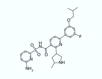 CC(C)COc1cc(F)cc(-c2ccc(C(=O)NS(=O)(=O)c3cccc(N)n3)c(C3CNC(C)C3)n2)c1